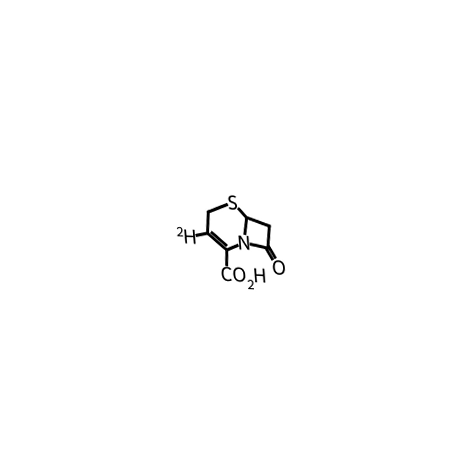 [2H]C1=C(C(=O)O)N2C(=O)CC2SC1